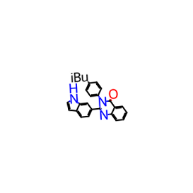 CCC(C)c1ccc(-n2c(-c3ccc4cc[nH]c4c3)nc3ccccc3c2=O)cc1